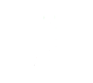 COC(=O)c1csc(CC(F)(F)F)c1